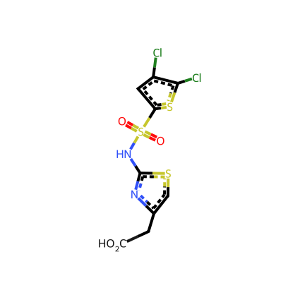 O=C(O)Cc1csc(NS(=O)(=O)c2cc(Cl)c(Cl)s2)n1